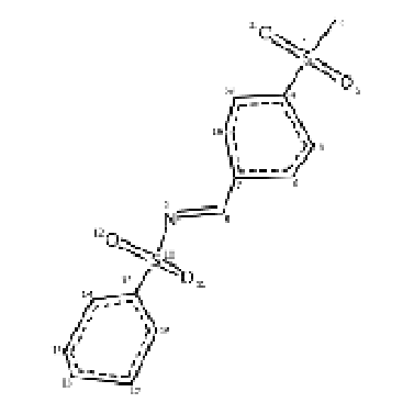 CS(=O)(=O)c1ccc(C=NS(=O)(=O)c2ccccc2)cc1